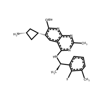 COc1nc2nc(C)nc(N[C@H](C)c3cccc(C)c3F)c2cc1[C@H]1C[C@@H](N)C1